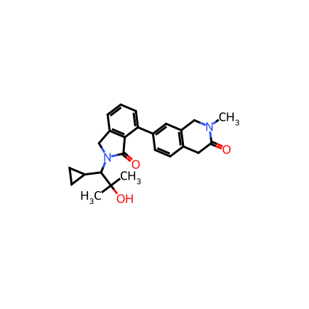 CN1Cc2cc(-c3cccc4c3C(=O)N(C(C3CC3)C(C)(C)O)C4)ccc2CC1=O